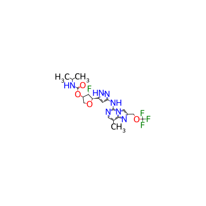 Cc1cnc(Nc2cc([C@H]3OC[C@@H](OC(=O)NC(C)C)[C@@H]3F)[nH]n2)n2cc(COC(F)(F)F)nc12